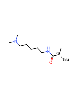 C[C@@H](C(=O)NCCCCCN(C)C)C(C)(C)C